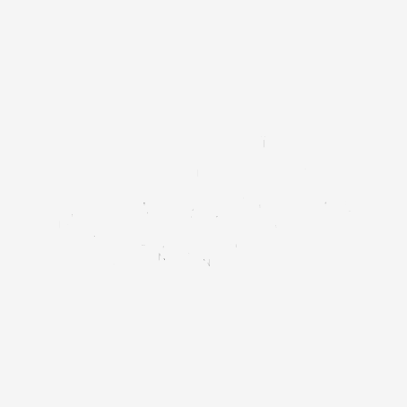 CC(c1cnc(NC(=O)OC(C)(C)C)s1)c1ccc(Cl)cc1F